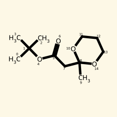 CC(C)(C)OC(=O)CC1(C)OCCCO1